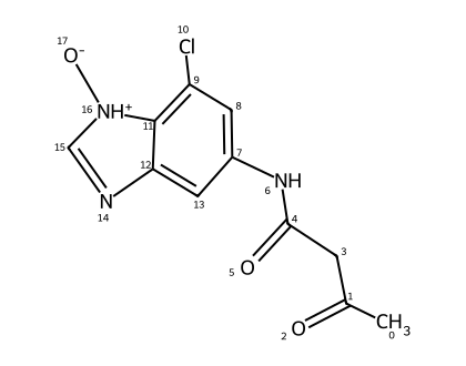 CC(=O)CC(=O)Nc1cc(Cl)c2c(c1)N=C[NH+]2[O-]